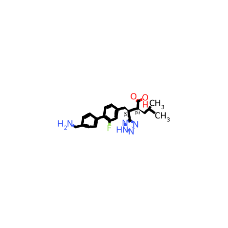 CC(C)C[C@H](C(=O)O)[C@H](Cc1ccc(-c2ccc(CN)cc2)c(F)c1)c1nn[nH]n1